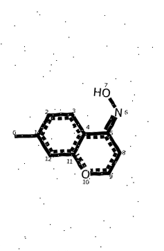 Cc1ccc2/c(=N\O)c[c]oc2c1